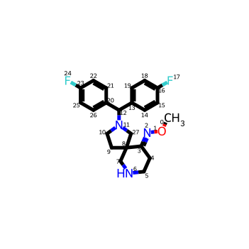 CON=C1CCNCC12CCN(C(c1ccc(F)cc1)c1ccc(F)cc1)C2